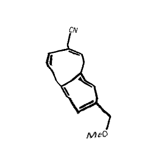 COCc1ccc2ccc(C#N)cc2c1